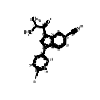 CC(C)C(=O)c1cn(-c2ccc(F)nn2)c2ccc(C#N)cc12